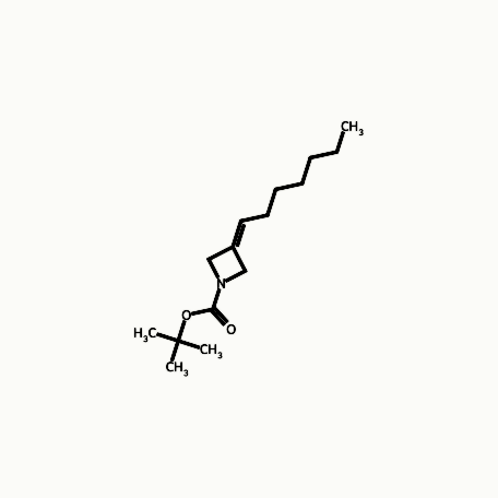 CCCCCCC=C1CN(C(=O)OC(C)(C)C)C1